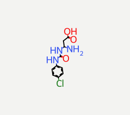 NC(CC(=O)O)NC(=O)Nc1ccc(Cl)cc1